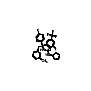 Cc1cccc(C[C@](NC(=O)NC2CCCC2)(c2cc(F)cc(C(F)(F)F)c2)c2ccc(Cl)cn2)c1